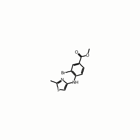 COC(=O)c1ccc(Nc2csc(C)n2)c(Br)c1